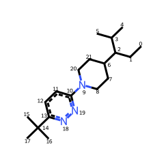 CCC(C(C)C)C1CCN(c2ccc(C(C)(C)C)nn2)CC1